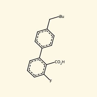 CCC(C)Cc1ccc(-c2cccc(F)c2C(=O)O)cc1